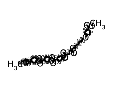 COC(=O)c1ccc(OCCCCCCOC(=O)CCC(=O)Oc2ccc(C(=O)Oc3ccc(C(=O)Oc4ccc(N5CCN(C)CC5)cc4)cc3)cc2)cc1